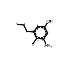 CCCc1cc(O)cc(N)c1C